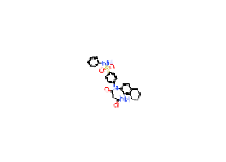 O=C1CC(=O)N(c2ccc(S(=O)(=O)Nc3ccccc3)cc2)c2ccc3c(c2N1)CCCC3